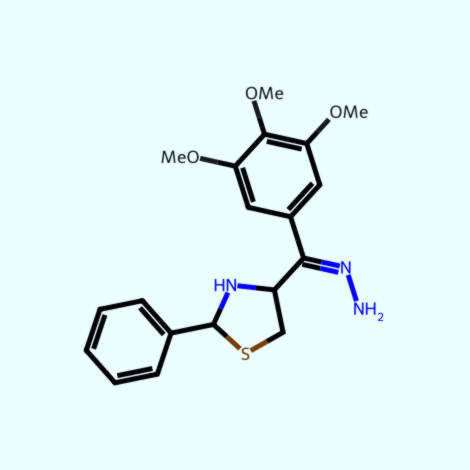 COc1cc(C(=NN)C2CSC(c3ccccc3)N2)cc(OC)c1OC